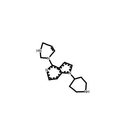 C1=CN(c2nccc3c2ccn3C2CCNCC2)CNC1